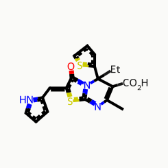 CCC1(c2cccs2)C(C(=O)O)=C(C)N=c2s/c(=C\c3ccc[nH]3)c(=O)n21